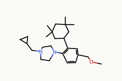 COCc1ccc(N2CCN(CC3CC3)CC2)c(C2CC(C)(C)CC(C)(C)C2)c1